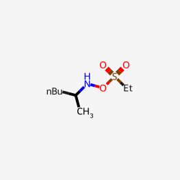 CCCCC(C)NOS(=O)(=O)CC